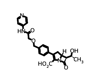 C[C@@H](O)[C@H]1C(=O)N2C(C(=O)O)=C(c3ccc(COCC(=O)Nc4ccncc4)cc3)C[C@H]12